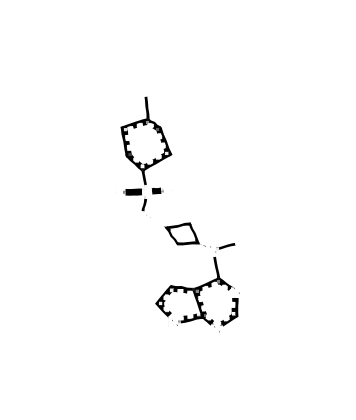 CN(c1ncnc2[nH]ccc12)[C@H]1C[C@@H](CS(=O)(=O)c2ccc(F)cc2)C1